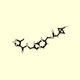 Cc1nonc1C(=O)NCc1cn2ccc(CNC(=O)CC34CC3(F)C4)nc2n1